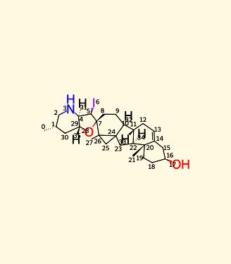 C[C@@H]1CN[C@H]2[C@@H](I)[C@@]3(CC[C@H]4[C@@H]5CC=C6C[C@@H](O)CC[C@]6(C)[C@H]5CC45CC53C)O[C@@H]2C1